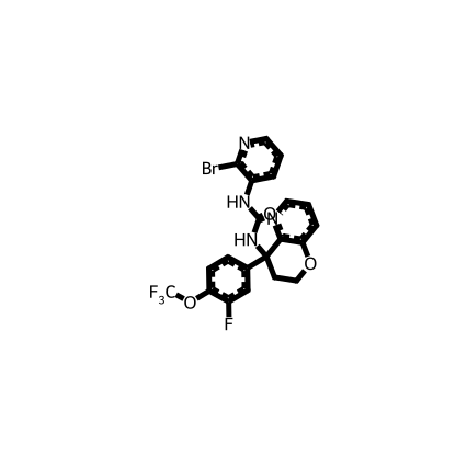 O=C(Nc1cccnc1Br)NC1(c2ccc(OC(F)(F)F)c(F)c2)CCOc2cccnc21